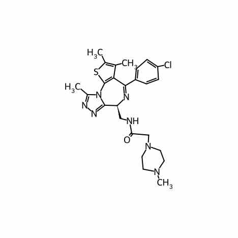 Cc1sc2c(c1C)C(c1ccc(Cl)cc1)=N[C@@H](CNC(=O)CN1CCN(C)CC1)c1nnc(C)n1-2